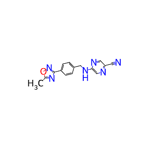 Cc1nc(-c2ccc(CNc3cnc(C#N)cn3)cc2)no1